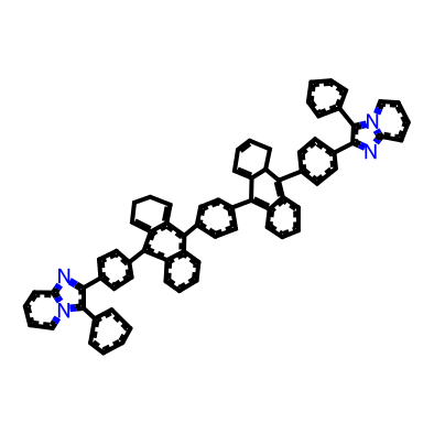 C1=CCC2C(=C1)C(c1ccc(-c3c4c(c(-c5ccc(-c6nc7ccccn7c6-c6ccccc6)cc5)c5ccccc35)=CCCC=4)cc1)=c1ccccc1=C2c1ccc(-c2nc3ccccn3c2-c2ccccc2)cc1